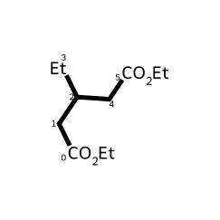 CCOC(=O)CC(CC)CC(=O)OCC